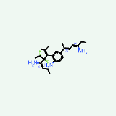 CC/C=C(/N)C(F)(C(=C(C)C)c1cc(/C(C)=C/C=C(\N)CC)ccc1N)C(C)F